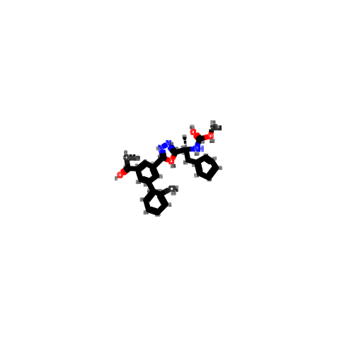 COC(=O)c1cc(-c2nnc([C@](C)(Cc3ccccc3)NC(=O)OC(C)(C)C)o2)cc(-c2ccccc2C#N)c1